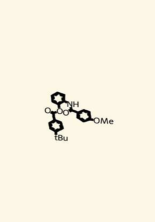 COc1ccc(C(=O)Nc2ccccc2OC(=O)c2ccc(C(C)(C)C)cc2)cc1